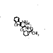 CC(=O)N1CCCC(OC(/C=C(\N)c2ccccc2O)=C(N)N)C1